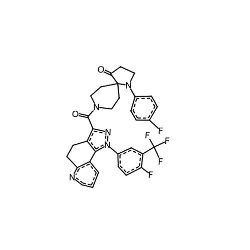 O=C(c1nn(-c2ccc(F)c(C(F)(F)F)c2)c2c1CCc1ncccc1-2)N1CCC2(CC1)C(=O)CCN2c1ccc(F)cc1